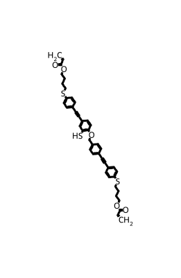 C=CC(=O)OCCCCSc1ccc(C#Cc2ccc(COc3ccc(C#Cc4ccc(SCCCCOC(=O)C=C)cc4)cc3S)cc2)cc1